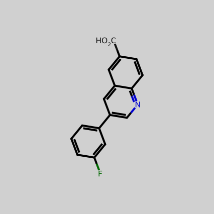 O=C(O)c1ccc2ncc(-c3cccc(F)c3)cc2c1